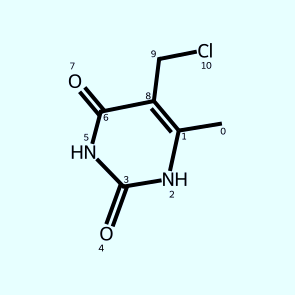 Cc1[nH]c(=O)[nH]c(=O)c1CCl